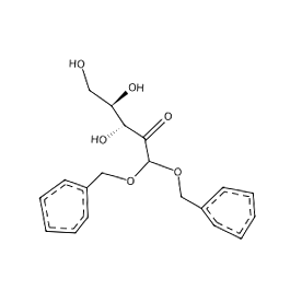 O=C(C(OCc1ccccc1)OCc1ccccc1)[C@H](O)[C@H](O)CO